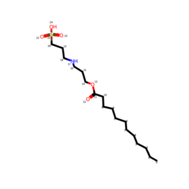 CCCCCCCCCCCC(=O)OCCCNCCCS(=O)(=O)O